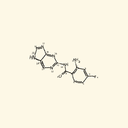 Nc1cc(F)ccc1C(=O)Nc1ncc2[nH]cnc2n1